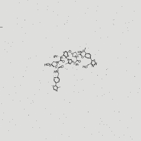 Cc1cn([C@H](C(=O)N2C[C@H](Oc3cnc([C@H](C(=O)N4C[C@H](O)C[C@H]4C(=O)NCc4ccc(-c5scnc5C)cc4)C(C)C)nn3)C[C@H]2C(=O)N[C@@H](C)c2ccc(-c3snnc3CO)cc2)C(C)C)cn1